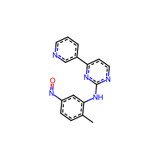 Cc1ccc(N=O)cc1Nc1nccc(-c2cccnc2)n1